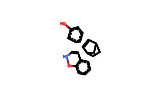 C1=CC2CCC1C2.C1=Cc2ccccc2ON1.Oc1ccccc1